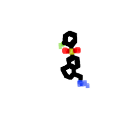 NCC1CCCc2cc(S(=O)(=O)c3ccccc3F)ccc21